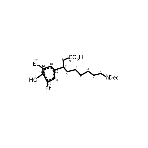 CCCCCCCCCCCCCCCCC(CC(=O)O)c1cc(CC)c(O)c(CC)c1